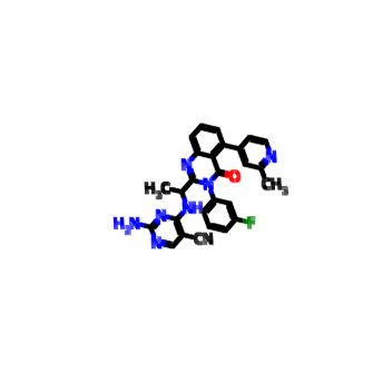 Cc1cc(-c2cccc3nc(C(C)Nc4nc(N)ncc4C#N)n(-c4cccc(F)c4)c(=O)c23)ccn1